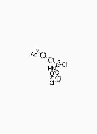 CC(=O)C1(c2ccc(-c3ccc(-c4sc(Cl)cc4NC(=O)O[C@H](C)c4ccccc4Cl)cc3)cc2)CC1